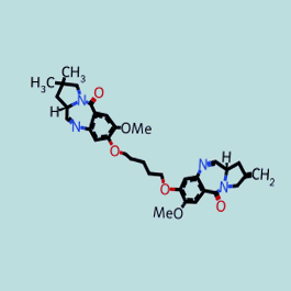 C=C1C[C@H]2C=Nc3cc(OCCCCCOc4cc5c(cc4OC)C(=O)N4CC(C)(C)C[C@H]4C=N5)c(OC)cc3C(=O)N2C1